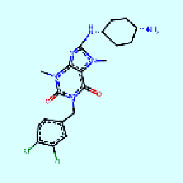 Cn1c(N[C@H]2CC[C@@H](N)CC2)nc2c1c(=O)n(Cc1ccc(Cl)c(Cl)c1)c(=O)n2C